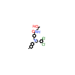 C=C(O)CCNC(=O)c1ccc(CN2C[C@H](c3cc(Cl)cc(Cl)c3)C[C@@H]2c2ccc3cc(C)ccc3c2)cc1